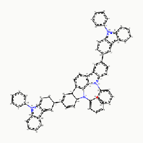 C1=CCCC(N2c3c(ccc4c5cc(-c6ccc7c(c6)c6ccccc6n7-c6ccccc6)ccc5n(-c5ccccc5)c34)C3C=C(C4C=c5c(n(-c6ccccc6)c6ccccc56)=CC4)C=CC32)=C1